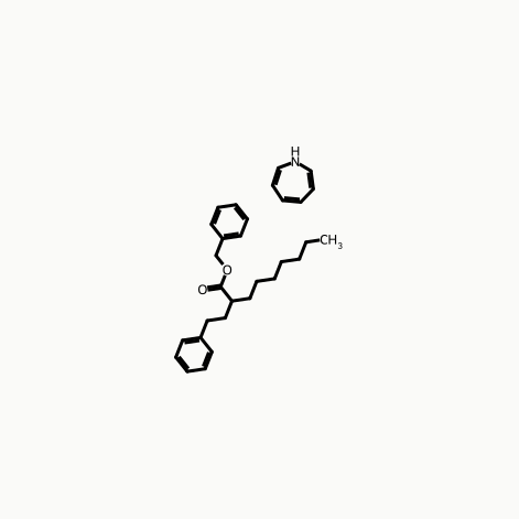 C1=CC=CNC=C1.CCCCCCCC(CCc1ccccc1)C(=O)OCc1ccccc1